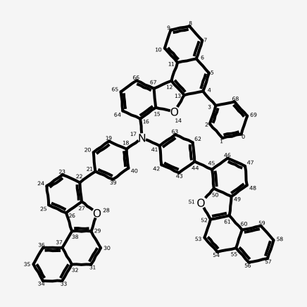 c1ccc(-c2cc3ccccc3c3c2oc2c(N(c4ccc(-c5cccc6c5oc5ccc7ccccc7c56)cc4)c4ccc(-c5cccc6c5oc5ccc7ccccc7c56)cc4)cccc23)cc1